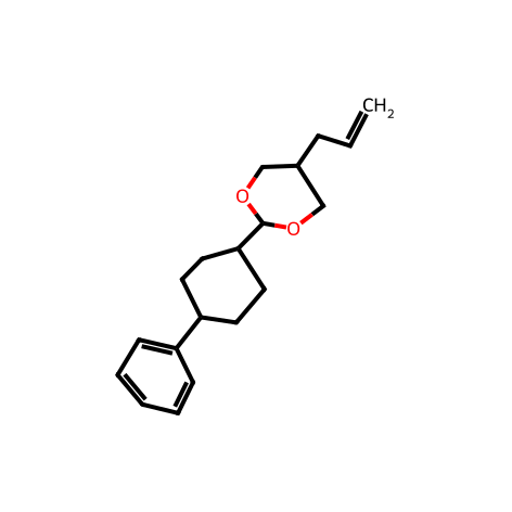 C=CCC1COC(C2CCC(c3ccccc3)CC2)OC1